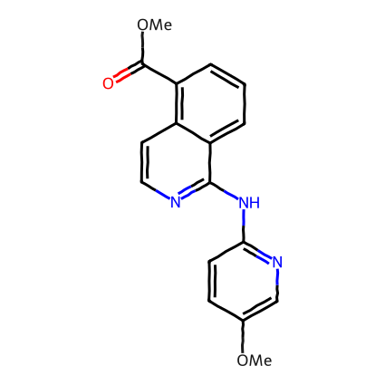 COC(=O)c1cccc2c(Nc3ccc(OC)cn3)nccc12